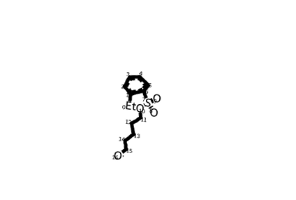 CCc1ccccc1S(=O)(=O)OCCCCC[O]